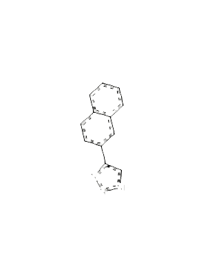 c1ccc2cc(-c3c[nH]nn3)ccc2c1